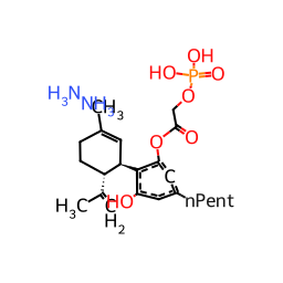 C=C(C)[C@@H]1CCC(C)=C[C@H]1c1c(O)cc(CCCCC)cc1OC(=O)COP(=O)(O)O.N.N